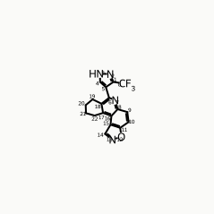 FC(F)(F)c1n[nH]cc1-c1nc2ccc3oncc3c2c2c1CCCC2